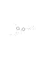 CN/C(=C\S)NSc1cc(Cl)c(Nc2ccc(OC(F)F)cc2N2CCC(NC)C2)cc1F